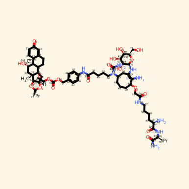 CCCC1O[C@@H]2CC3C4CCC5=CC(=O)C=C[C@]5(C)C4[C@@H](O)C[C@]3(C)[C@]2(C(=O)COC(=O)OCc2ccc(NC(=O)CCCCN(C(N)=O)C3CCCC(OCC(=O)NCCCC[C@@H](N)C(=O)N[C@H](C(N)=O)C(C)C)/C(N)=C(/N[C@@H]4O[C@H](CO)[C@H](O)[C@H](O)[C@H]4O)C3)cc2)O1